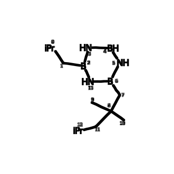 CC(C)CB1NBNB(CC(C)(C)CC(C)C)N1